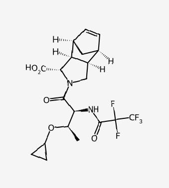 C[C@@H](OC1CC1)[C@H](NC(=O)C(F)(F)C(F)(F)F)C(=O)N1C[C@H]2[C@@H]([C@H]1C(=O)O)[C@H]1C=C[C@@H]2C1